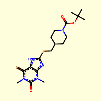 Cn1c(=S)c2[nH]c(SCC3CCN(C(=O)OC(C)(C)C)CC3)nc2n(C)c1=O